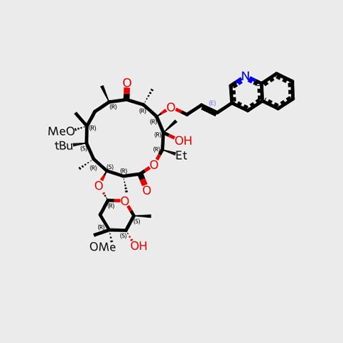 CC[C@H]1OC(=O)[C@H](C)[C@@H](O[C@H]2C[C@@](C)(OC)[C@@H](O)[C@H](C)O2)[C@H](C)[C@@H](C(C)(C)C)[C@](C)(OC)C[C@@H](C)C(=O)[C@H](C)[C@@H](OC/C=C/c2cnc3ccccc3c2)[C@]1(C)O